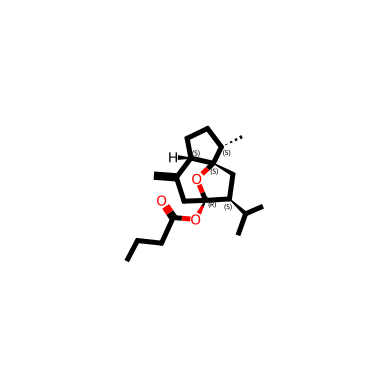 C=C1C[C@]2(OC(=O)CCC)O[C@@]3(C[C@H]2C(C)C)[C@@H](C)CC[C@@H]13